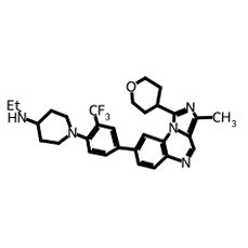 CCNC1CCN(c2ccc(-c3ccc4ncc5c(C)nc(C6CCOCC6)n5c4c3)cc2C(F)(F)F)CC1